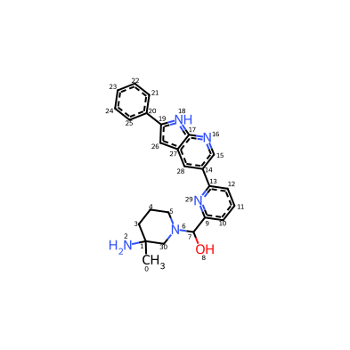 CC1(N)CCCN(C(O)c2cccc(-c3cnc4[nH]c(-c5ccccc5)cc4c3)n2)C1